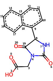 O=C(O)CN1C(=O)NC(c2cccc3ccccc23)C1=O